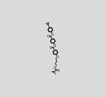 C=C(C)C(=O)OCCCCOc1ccc(C(=O)Oc2ccc(C(=O)Oc3ccc(C4CC4)cc3)cc2)cc1